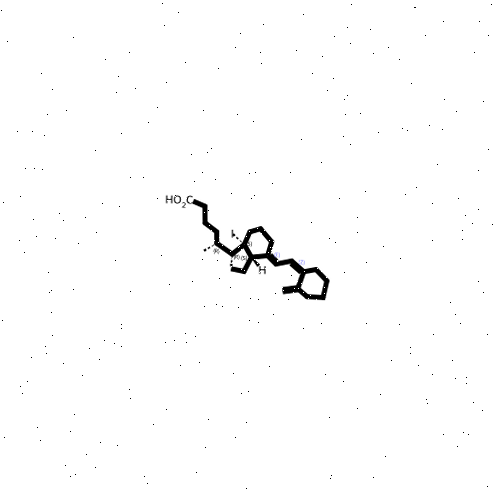 C=C1CCCC/C1=C/C=C1\CCC[C@]2(I)[C@@H]([C@H](C)CCCC(=O)O)CC[C@@H]12